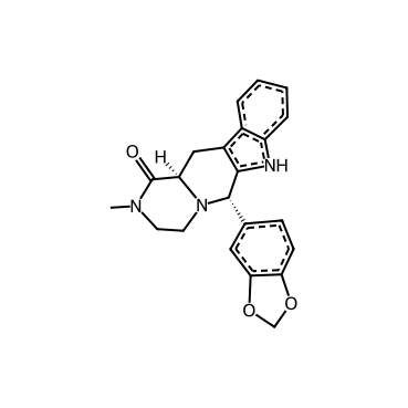 CN1CCN2[C@@H](c3ccc4c(c3)OCO4)c3[nH]c4ccccc4c3C[C@@H]2C1=O